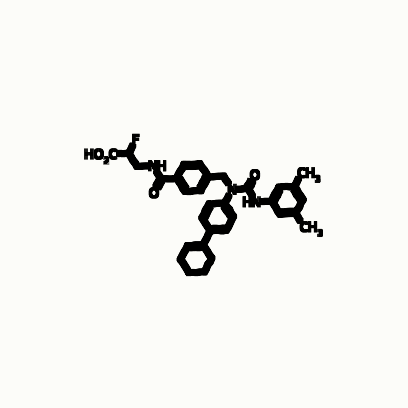 Cc1cc(C)cc(NC(=O)N(Cc2ccc(C(=O)NCC(F)C(=O)O)cc2)c2ccc(C3=CCCCC3)cc2)c1